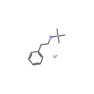 C[Si](C)(C)[N-]CCc1ccccc1.[Li+]